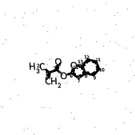 C=C(C)C(=O)Oc1cc2ccccc2o1